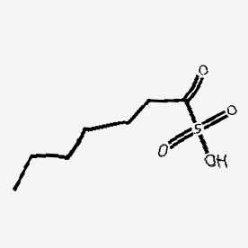 CCCCCCC(=O)S(=O)(=O)O